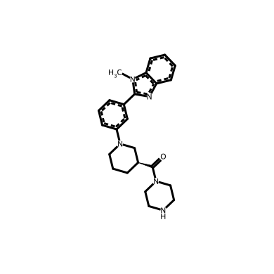 Cn1c(-c2cccc(N3CCC[C@H](C(=O)N4CCNCC4)C3)c2)nc2ccccc21